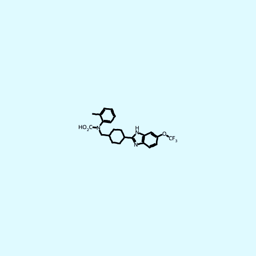 Cc1ccccc1N(CC1CCC(c2nc3ccc(OC(F)(F)F)cc3[nH]2)CC1)C(=O)O